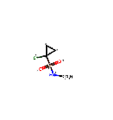 O=C(O)NS(=O)(=O)C1(Cl)CC1